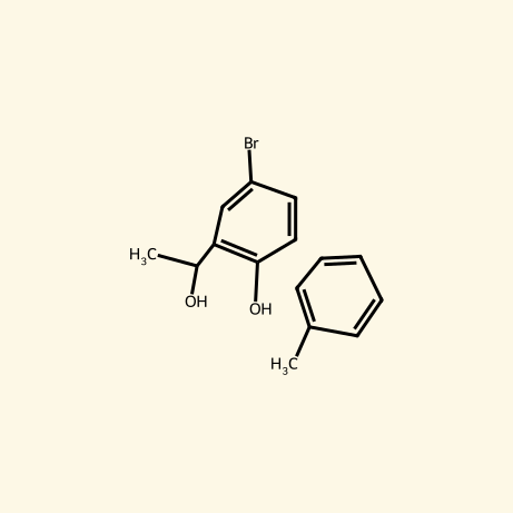 CC(O)c1cc(Br)ccc1O.Cc1ccccc1